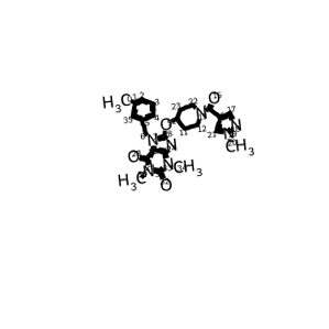 Cc1cccc(Cn2c(OC3CCN(C(=O)c4cnn(C)c4)CC3)nc3c2c(=O)n(C)c(=O)n3C)c1